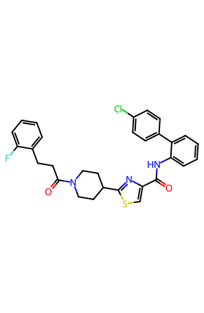 O=C(Nc1ccccc1-c1ccc(Cl)cc1)c1csc(C2CCN(C(=O)CCc3ccccc3F)CC2)n1